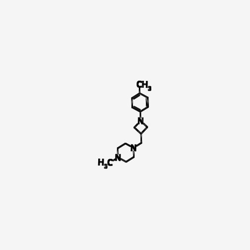 Cc1ccc(N2CC(CN3CCN(C)CC3)C2)cc1